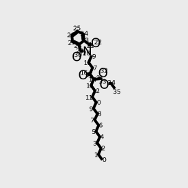 CCCCCCCCCCCCCCC(C(=O)CCCN1C(=O)c2ccccc2C1=O)C(=O)OCC